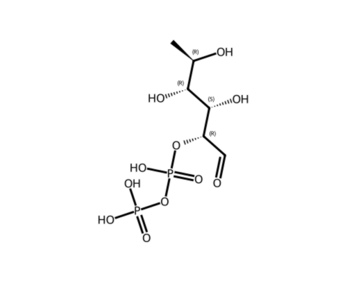 C[C@@H](O)[C@@H](O)[C@H](O)[C@H](C=O)OP(=O)(O)OP(=O)(O)O